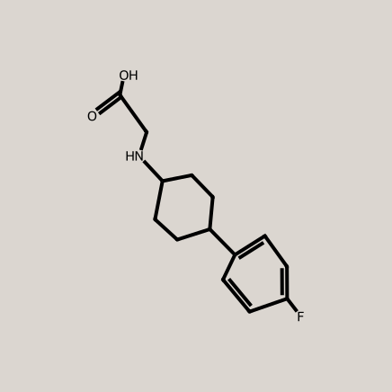 O=C(O)CNC1CCC(c2ccc(F)cc2)CC1